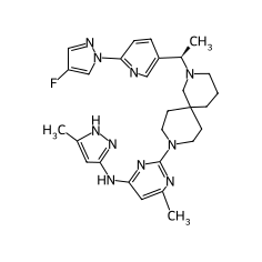 Cc1cc(Nc2cc(C)[nH]n2)nc(N2CCC3(CCCN([C@H](C)c4ccc(-n5cc(F)cn5)nc4)C3)CC2)n1